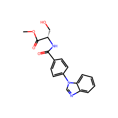 COC(=O)[C@H](CO)NC(=O)c1ccc(-n2cnc3ccccc32)cc1